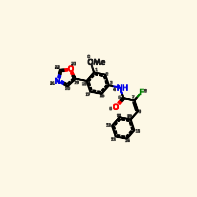 COc1cc(NC(=O)/C(F)=C\c2ccccc2)ccc1-c1cnco1